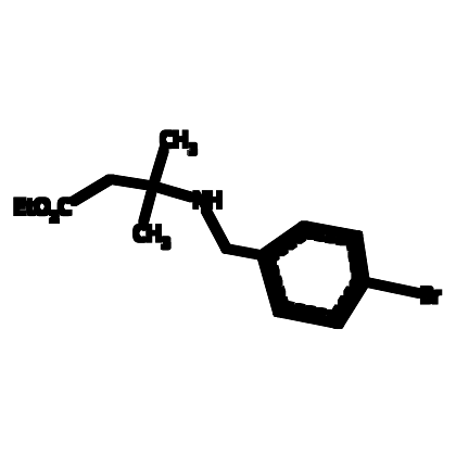 CCOC(=O)CC(C)(C)NCc1ccc(Br)cc1